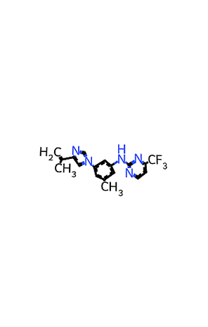 C=C(C)c1cn(-c2cc(C)cc(Nc3nccc(C(F)(F)F)n3)c2)cn1